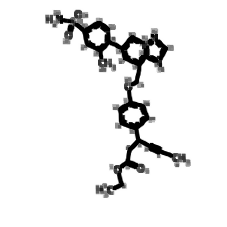 CC#CC(CC(=O)OCC)c1ccc(OCc2cc(-c3ccc(S(N)(=O)=O)cc3C)cn3ncnc23)cc1